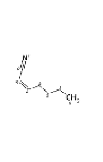 CCCC/C=[C]\C#N